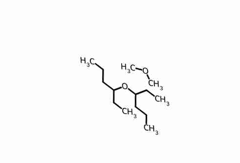 CCCC(CC)OC(CC)CCC.COC